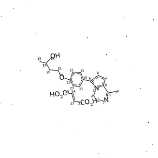 CC1=NCCn2c1ccc2-c1ccc(OCCC(C)O)cc1.O=C(O)/C=C/C(=O)O